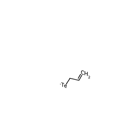 C=CC[Te]